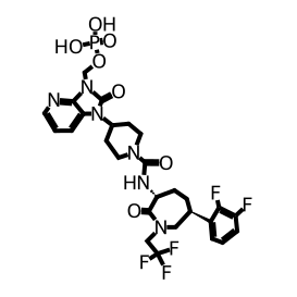 O=C(N[C@@H]1CC[C@@H](c2cccc(F)c2F)CN(CC(F)(F)F)C1=O)N1CCC(n2c(=O)n(COP(=O)(O)O)c3ncccc32)CC1